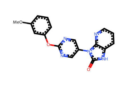 COc1cccc(Oc2ncc(-n3c(=O)[nH]c4cccnc43)cn2)c1